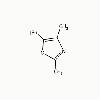 Cc1nc(C)c(C(C)(C)C)o1